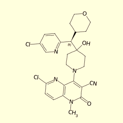 Cn1c(=O)c(C#N)c(N2CCC(O)([C@@H](c3ccc(Cl)cn3)C3CCOCC3)CC2)c2nc(Cl)ccc21